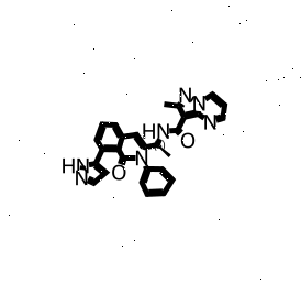 Cc1nn2cccnc2c1C(=O)N[C@@H](C)c1cc2cccc(-c3ccn[nH]3)c2c(=O)n1-c1ccccc1